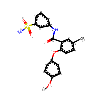 CCOc1ccc(Oc2ccc(C(F)(F)F)cc2C(=O)Nc2cccc(S(N)(=O)=O)c2)cc1